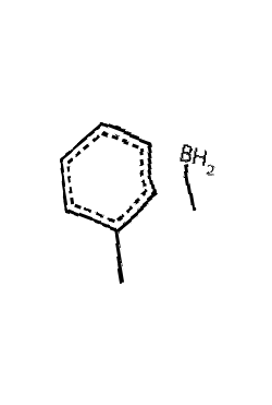 BC.Cc1ccccc1